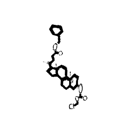 C[C@H](CCC(=O)OCc1ccccc1)C1CCC2C3CCC4C[C@H](OC(=O)OCCl)CC[C@]4(C)C3CC[C@@]21C